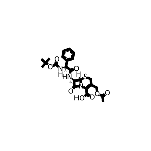 CC(=O)OCC1=C(C(=O)O)N2C(=O)[C@@H](NC(=O)[C@@H](NC(=O)OC(C)(C)C)c3ccccc3)[C@@H]2SC1